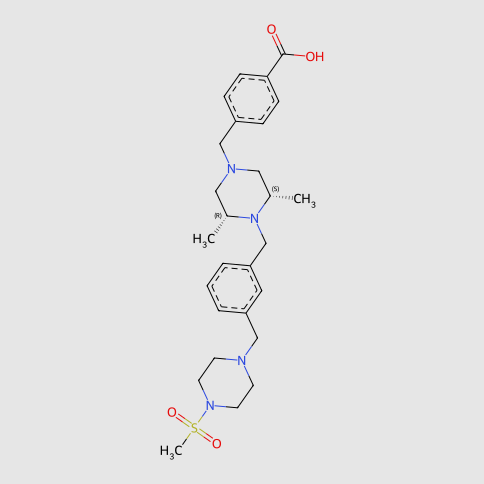 C[C@@H]1CN(Cc2ccc(C(=O)O)cc2)C[C@H](C)N1Cc1cccc(CN2CCN(S(C)(=O)=O)CC2)c1